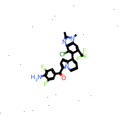 Cc1nc2c(Cl)c(-c3cccn4c(C(=O)c5cc(F)c(N)c(F)c5)ccc34)c(C(F)(F)F)cc2n1C